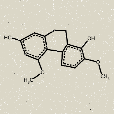 COc1ccc2c(c1O)CCc1cc(O)cc(OC)c1-2